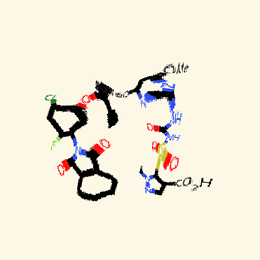 C#CC(C)Oc1cc(N2C(=O)C3=C(CCCC3)C2=O)c(F)cc1Cl.COc1cc(OC)nc(NC(=O)NS(=O)(=O)c2c(C(=O)O)cnn2C)n1